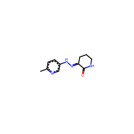 Cc1ccc(N/N=C2\CCCNC2=O)cn1